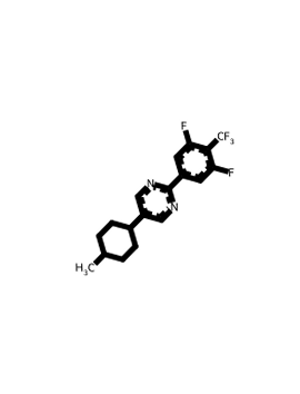 CC1CCC(c2cnc(-c3cc(F)c(C(F)(F)F)c(F)c3)nc2)CC1